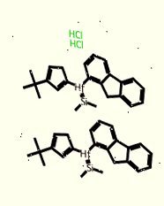 C[Si](C)=[Hf]([C]1=CC(C(C)(C)C)=CC1)[c]1cccc2c1Cc1ccccc1-2.C[Si](C)=[Hf]([C]1=CC(C(C)(C)C)=CC1)[c]1cccc2c1Cc1ccccc1-2.Cl.Cl